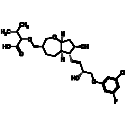 CC(C)C(OC[C@@H]1CC[C@@H]2[C@@H](/C=C/[C@@H](O)COc3cc(F)cc(Cl)c3)[C@H](O)C[C@@H]2OC1)C(=O)O